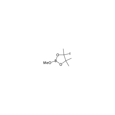 COB1OC(C)(C)C(C)(I)O1